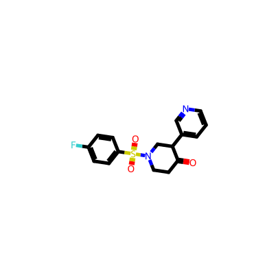 O=C1CCN(S(=O)(=O)c2ccc(F)cc2)CC1c1cccnc1